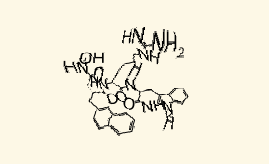 N=C(N)NCCCC(NC(=O)[C@@H](CC(=O)NO)Cc1ccc2ccccc2c1)C(=O)N[C@@H](Cc1c[nH]c2ccccc12)C(N)=O